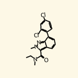 CCN(C)C(=O)c1c2cccc(-c3ccc(Cl)cc3Cl)c2nn1C